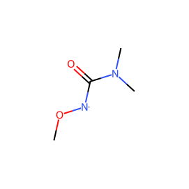 CO[N]C(=O)N(C)C